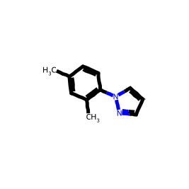 Cc1ccc(-n2c[c]cn2)c(C)c1